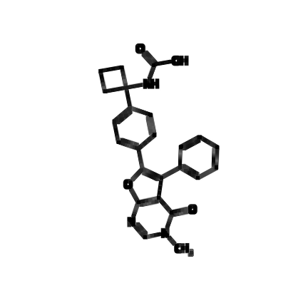 Cn1cnc2oc(-c3ccc(C4(NC(=O)O)CCC4)cc3)c(-c3ccccc3)c2c1=O